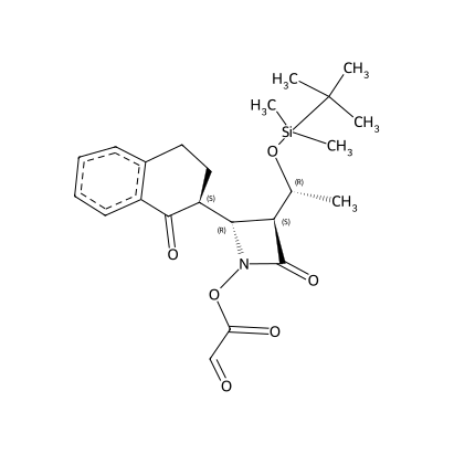 C[C@@H](O[Si](C)(C)C(C)(C)C)[C@H]1C(=O)N(OC(=O)C=O)[C@@H]1[C@@H]1CCc2ccccc2C1=O